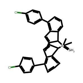 CC1=Cc2c(-c3ccc(Cl)cc3)cccc2[CH]1[Zr]([CH3])([CH3])(=[SiH2])[CH]1C(C)=Cc2c(-c3ccc(Cl)cc3)cccc21